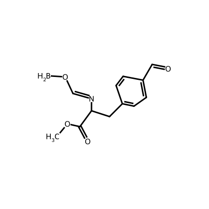 BOC=NC(Cc1ccc(C=O)cc1)C(=O)OC